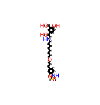 CS(=O)(=O)Nc1ccc(CCCOCCCCCCCCNCC(O)c2ccc(O)c(CO)c2)cc1